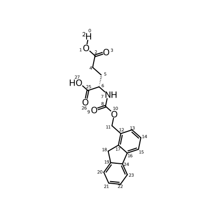 [2H]OC(=O)CC[C@H](NC(=O)OCc1cccc2c1Cc1ccccc1-2)C(=O)O